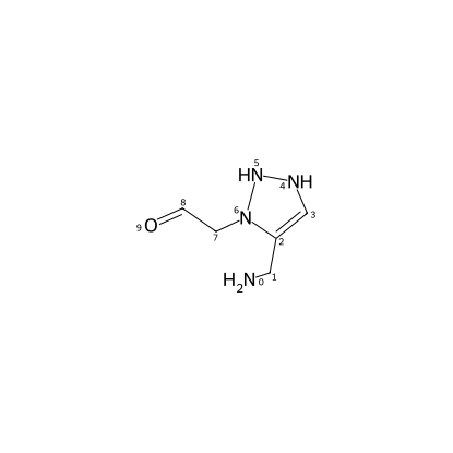 NCC1=CNNN1CC=O